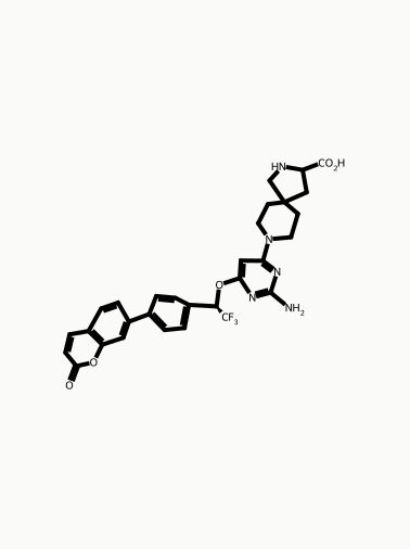 Nc1nc(O[C@H](c2ccc(-c3ccc4ccc(=O)oc4c3)cc2)C(F)(F)F)cc(N2CCC3(CC2)CNC(C(=O)O)C3)n1